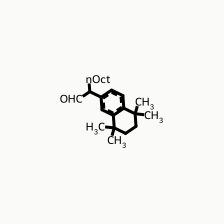 CCCCCCCCC(C=O)c1ccc2c(c1)C(C)(C)CCC2(C)C